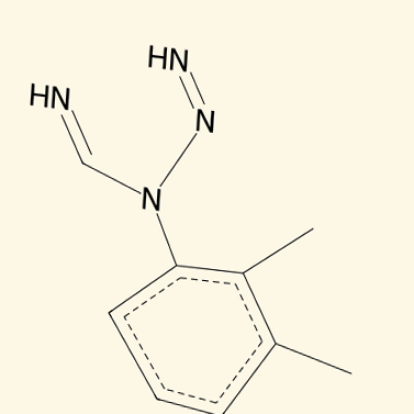 Cc1cccc(N(C=N)N=N)c1C